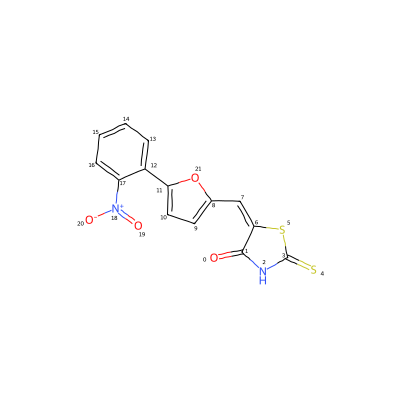 O=C1NC(=S)SC1=Cc1ccc(-c2ccccc2[N+](=O)[O-])o1